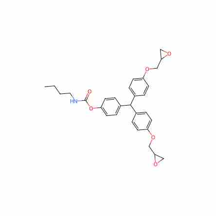 CCCCNC(=O)Oc1ccc(C(c2ccc(OCC3CO3)cc2)c2ccc(OCC3CO3)cc2)cc1